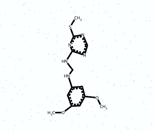 COc1cc(NCNc2ncnc(SC)n2)cc(OC)c1